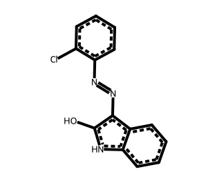 Oc1[nH]c2ccccc2c1N=Nc1ccccc1Cl